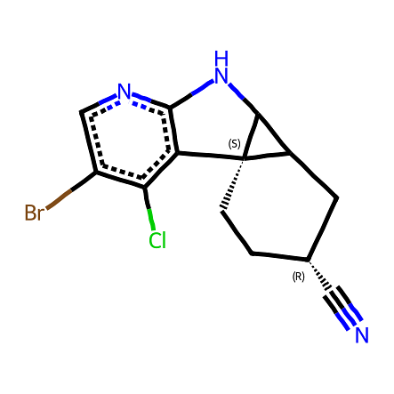 N#C[C@@H]1CC[C@]23c4c(ncc(Br)c4Cl)NC2C3C1